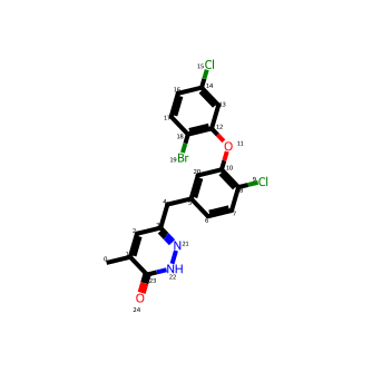 Cc1cc(Cc2ccc(Cl)c(Oc3cc(Cl)ccc3Br)c2)n[nH]c1=O